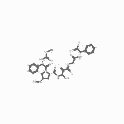 CCCC(NC(=O)[C@@H]1C[C@@H](OC(C)(C)C)CN1C(=O)[C@@H](NC(=O)OC(C)(C)C)c1ccccc1)C(=O)C(=O)NCC(=O)N[C@H](C(N)=O)c1ccccc1